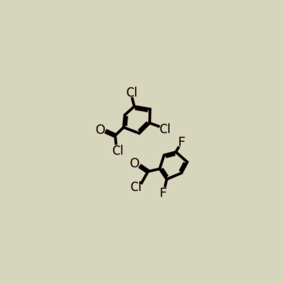 O=C(Cl)c1cc(Cl)cc(Cl)c1.O=C(Cl)c1cc(F)ccc1F